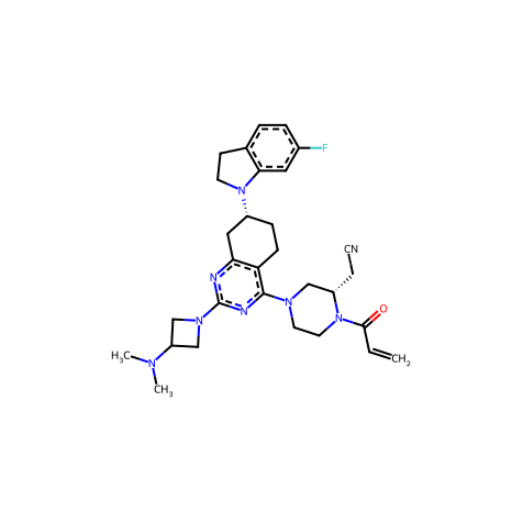 C=CC(=O)N1CCN(c2nc(N3CC(N(C)C)C3)nc3c2CC[C@@H](N2CCc4ccc(F)cc42)C3)C[C@@H]1CC#N